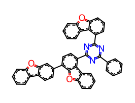 c1ccc(-c2nc(-c3cccc4oc5ccccc5c34)nc(-c3ccc(-c4ccc5c(c4)oc4ccccc45)c4oc5ccccc5c34)n2)cc1